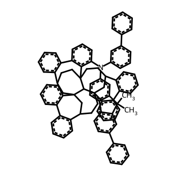 CC1(C)c2cc(-c3ccccc3)ccc2-c2ccc(N(c3cccc(-c4ccccc4)c3)c3cccc4c3C35CCC6CC7(CCC8CC(CC(CC3)c3ccccc3-4)(c3ccccc3-c3ccccc38)C75)c3ccccc3-c3ccccc36)cc21